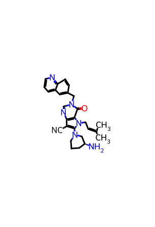 CC(C)=CCn1c(N2CCC[C@H](N)C2)c(C#N)c2ncn(Cc3ccc4ncccc4c3)c(=O)c21